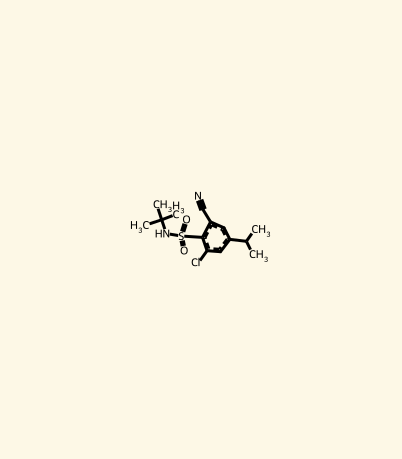 CC(C)c1cc(Cl)c(S(=O)(=O)NC(C)(C)C)c(C#N)c1